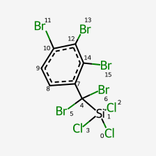 Cl[Si](Cl)(Cl)C(Br)(Br)c1ccc(Br)c(Br)c1Br